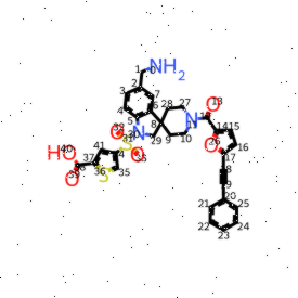 NCc1ccc2c(c1)C1(CCN(C(=O)c3ccc(C#Cc4ccccc4)o3)CC1)CN2S(=O)(=O)c1csc(C(=O)O)c1